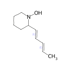 C/C=C/C=C/C1CCCCN1O